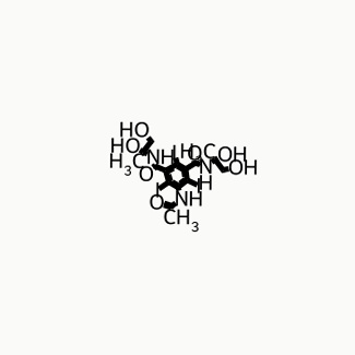 CC(=O)Nc1c(I)c(C(=O)NC(C)(O)CO)c(I)c(C(=O)NC(C)(O)CO)c1I